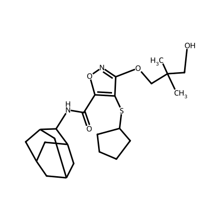 CC(C)(CO)COc1noc(C(=O)NC2C3CC4CC(C3)CC2C4)c1SC1CCCC1